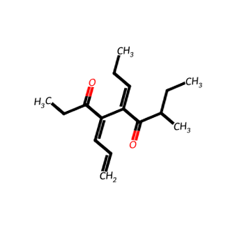 C=C/C=C(C(=O)CC)\C(=C/CC)C(=O)C(C)CC